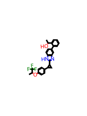 CC(O)c1ccccc1-c1ccc2[nH]c(C3CC3c3ccc(OC(C)C(F)(F)F)cc3)nc2c1